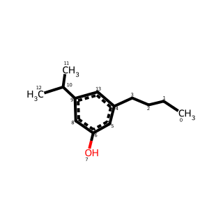 CCCCc1cc(O)cc(C(C)C)c1